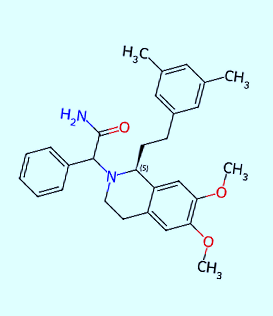 COc1cc2c(cc1OC)[C@H](CCc1cc(C)cc(C)c1)N(C(C(N)=O)c1ccccc1)CC2